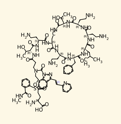 CNC(=O)c1ccccc1Sc1ccc2c(/C=C/c3ccccn3)nn(C(=O)N(CCOC(=O)CC[C@@H](N)C(=O)O)CCC(=O)N[C@@H](C(=O)N[C@@H](CCN)C(=O)N[C@H]3CCNC(=O)[C@@H]([C@H](C)O)NC(=O)[C@@H](CCN)NC(=O)[C@@H](CCN)NC(=O)[C@@H](CC(C)C)NC(=O)[C@@H](Cc4ccccc4)NC(=O)[C@@H](CCN)NC3=O)C(C)O)c2c1